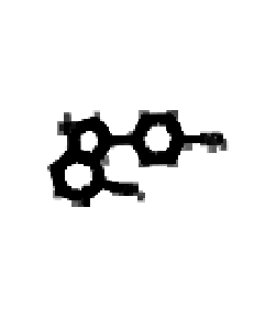 Nc1nccc2[nH]cc(-c3ccc([N+](=O)[O-])cc3)c12